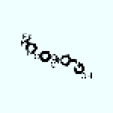 O=C(Oc1ccc(Oc2ccc(C(F)(F)F)cn2)cc1)N1CCC(CN2CCC(O)CC2)CC1